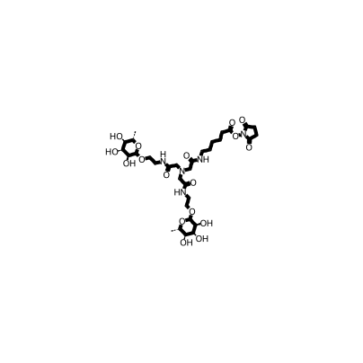 C[C@@H]1OC(OCCNC(=O)CN(CC(=O)NCCCCCC(=O)ON2C(=O)CCC2=O)CC(=O)NCCOC2O[C@@H](C)[C@@H](O)[C@@H](O)[C@@H]2O)[C@@H](O)[C@H](O)[C@@H]1O